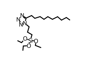 CCCCCCCCCCc1nnnn1CCC[Si](OCC)(OCC)OCC